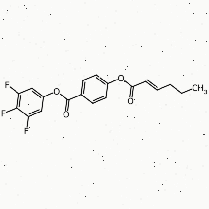 CCCC=CC(=O)Oc1ccc(C(=O)Oc2cc(F)c(F)c(F)c2)cc1